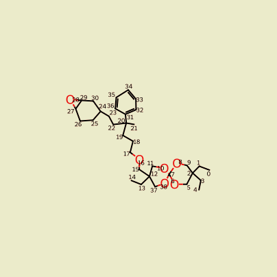 CCC1(CC)COC2(OC1)OCC(CC)(COCCCC(C)(CCC1CCC3OC3C1)c1ccccc1)CO2